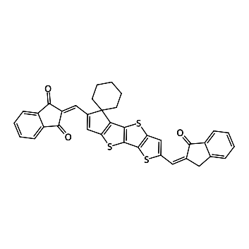 O=C1/C(=C\c2cc3sc4c5c(sc4c3s2)C=C(C=C2C(=O)c3ccccc3C2=O)C52CCCCC2)Cc2ccccc21